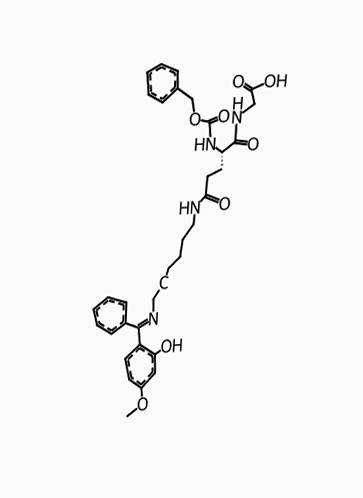 COc1ccc(/C(=N/CCCCCCNC(=O)CC[C@H](NC(=O)OCc2ccccc2)C(=O)NCC(=O)O)c2ccccc2)c(O)c1